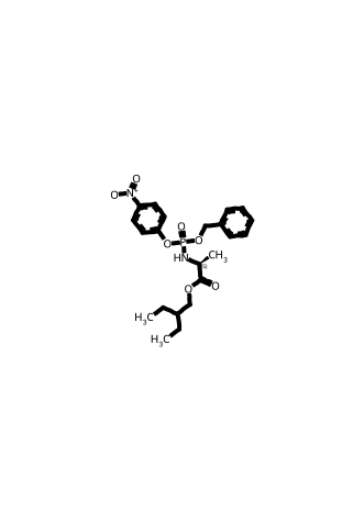 CCC(CC)COC(=O)[C@H](C)NP(=O)(OCc1ccccc1)Oc1ccc([N+](=O)[O-])cc1